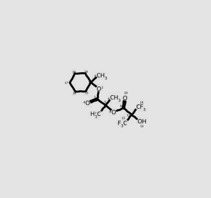 CC1(OC(=O)C(C)(C)OC(=O)C(O)(C(F)(F)F)C(F)(F)F)CCCCC1